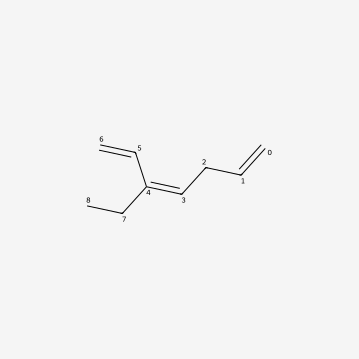 C=CCC=C(C=C)CC